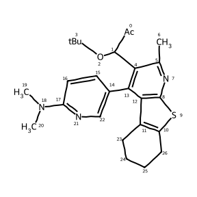 CC(=O)C(OC(C)(C)C)c1c(C)nc2sc3c(c2c1-c1ccc(N(C)C)nc1)CCCC3